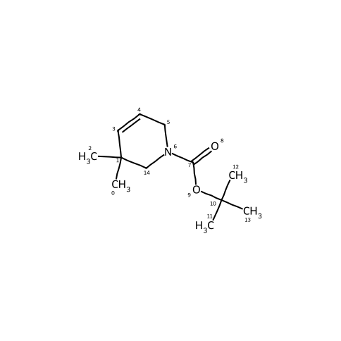 CC1(C)C=CCN(C(=O)OC(C)(C)C)C1